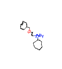 c1ccc(COCCNC2CCCCC2)cc1